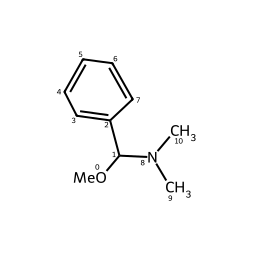 COC(c1ccccc1)N(C)C